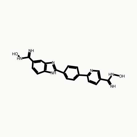 N=C(NO)c1ccc(-c2ccc(-c3nc4cc(C(=N)NO)ccc4[nH]3)cc2)nc1